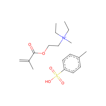 C=C(C)C(=O)OCC[N+](C)(CC)CC.Cc1ccc(S(=O)(=O)O)cc1